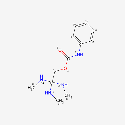 CNC(COC(=O)Nc1ccccc1)(NC)NC